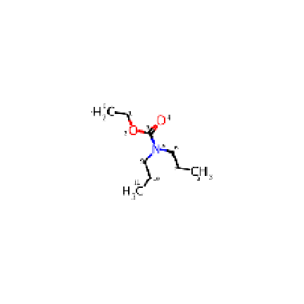 [CH2]COC(=O)N(CCC)CCC